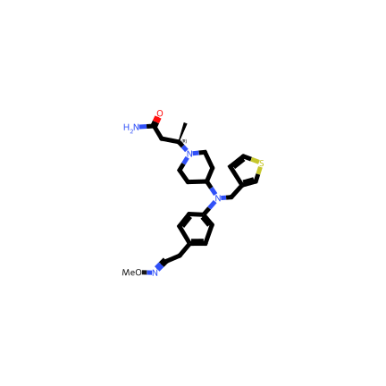 CON=CCc1ccc(N(Cc2ccsc2)C2CCN([C@H](C)CC(N)=O)CC2)cc1